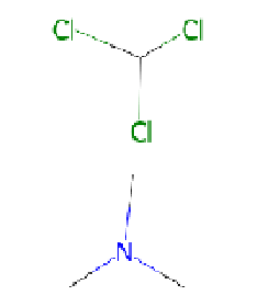 CN(C)C.ClC(Cl)Cl